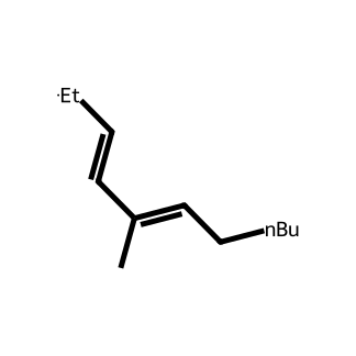 C[CH]C=CC(C)=CCCCCC